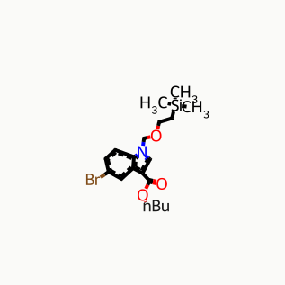 CCCCOC(=O)c1cn(COCC[Si](C)(C)C)c2ccc(Br)cc12